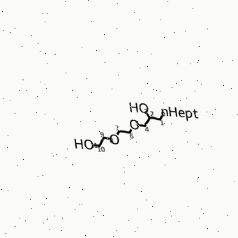 CCCCCCCCC(O)COCCOCCO